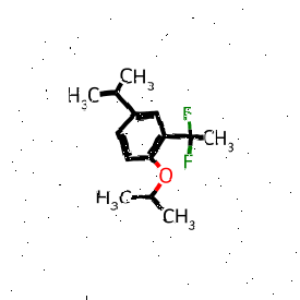 CC(C)Oc1ccc(C(C)C)cc1C(C)(F)F